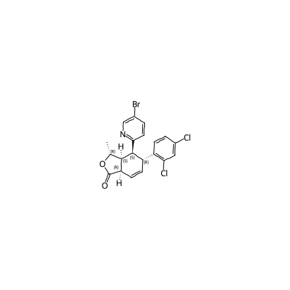 C[C@H]1OC(=O)[C@@H]2C=C[C@@H](c3ccc(Cl)cc3Cl)[C@H](c3ccc(Br)cn3)[C@H]12